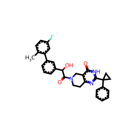 Cc1ccc(F)cc1-c1cccc(C(O)C(=O)N2CCc3nc(C4(c5ccccc5)CC4)[nH]c(=O)c3C2)c1